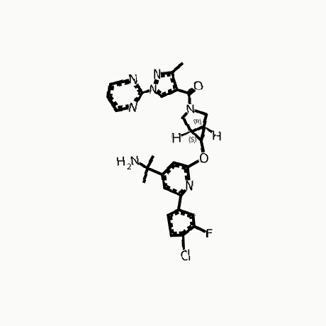 Cc1nn(-c2ncccn2)cc1C(=O)N1C[C@@H]2C(Oc3cc(C(C)(C)N)cc(-c4ccc(Cl)c(F)c4)n3)[C@@H]2C1